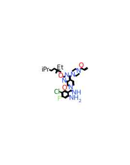 C=CC(=O)N1CCN(c2nc(OC[C@@](C)(CC)CCC(C)C)nc3c(Oc4c(Cl)c(F)cc(N)c4C=N)nccc23)CC1